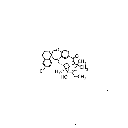 C=CC[C@H](O)[C@]1(C)CC[C@H]1CN1C[C@@]2(CCCc3cc(Cl)ccc32)COc2ccc(C(=O)OC(C)(C)C)cc21